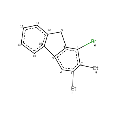 CCc1cc2c(c(Br)c1CC)Cc1ccccc1-2